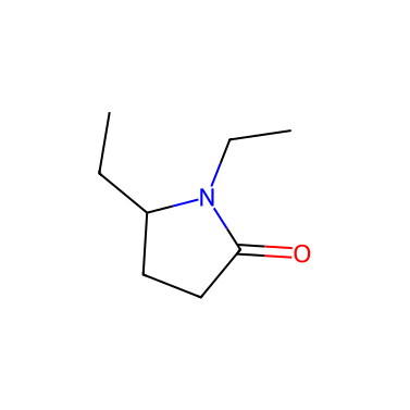 CCC1CCC(=O)N1CC